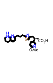 COc1ccc([C@@H](CC(=O)O)Cc2csc(CCCc3ccc4c(n3)NCCC4)n2)cn1